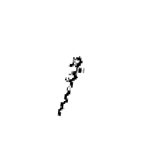 CCCCCCCOCC(=O)CC(=O)Nc1ccnn1C